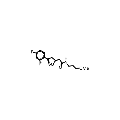 COCCCNC(=O)CC1CC(c2ccc(F)cc2F)=NO1